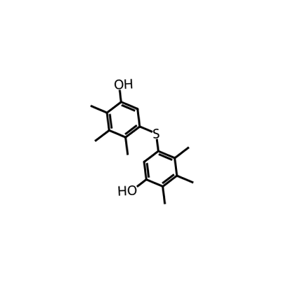 Cc1c(O)cc(Sc2cc(O)c(C)c(C)c2C)c(C)c1C